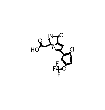 O=C(O)CC1CNC(=O)c2cc(-c3cc(OC(F)(F)F)ccc3Cl)cn21